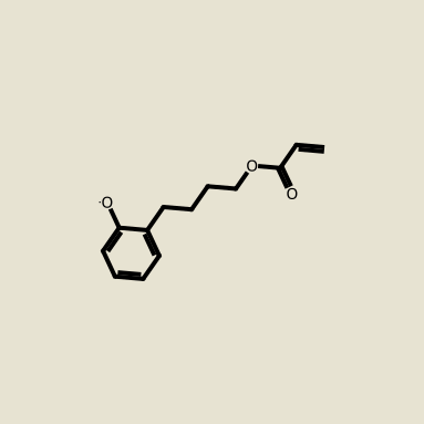 C=CC(=O)OCCCCc1ccccc1[O]